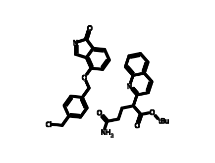 CC(C)(C)OC(=O)C(CCC(N)=O)c1ccc2ccccc2n1.O=C1N=Cc2c(OCc3ccc(CCl)cc3)cccc21